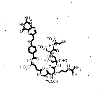 N=C(N)NCCC[C@H](NC(=O)[C@H](CC(=O)O)NC(=O)CC[C@H](NC(=O)c1ccc(NCc2cnc3nc(N)[nH]c(=O)c3n2)cc1)C(=O)O)C(=O)N[C@](C=O)(CN[C@@H](CC(=O)O)C(=O)N[C@@H](CS)C(=O)O)CC(=O)O